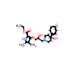 CCOC(=O)c1[nH]c(C)c(C)c1OCC(O)CN1CCC(O)(c2ccc(F)cc2)CC1